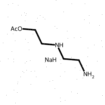 CC(=O)OCCNCCN.[NaH]